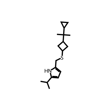 CC(C)c1ccc(CSC2CC(C(C)(C)C3CC3)C2)[nH]1